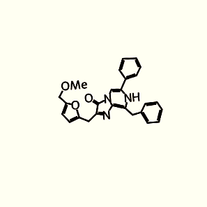 COCc1ccc(Cc2nc3c(Cc4ccccc4)[nH]c(-c4ccccc4)cn-3c2=O)o1